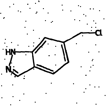 ClCc1ccc2[c]n[nH]c2c1